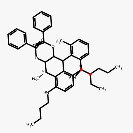 CCCCNc1ccc(NCCCC)c2c1C(c1c(C)cccc1C(N)CCC)C(OC(=O)c1ccccc1)C(OC(=O)c1ccccc1)[C@H]2C